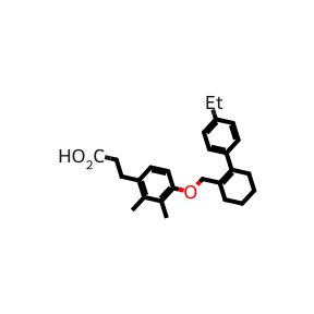 CCc1ccc(C2=C(COc3ccc(CCC(=O)O)c(C)c3C)CCCC2)cc1